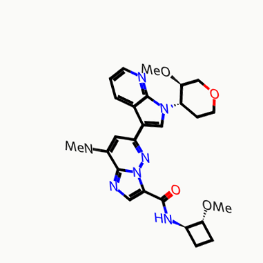 CNc1cc(-c2cn([C@H]3CCOC[C@@H]3OC)c3ncccc23)nn2c(C(=O)N[C@@H]3CC[C@H]3OC)cnc12